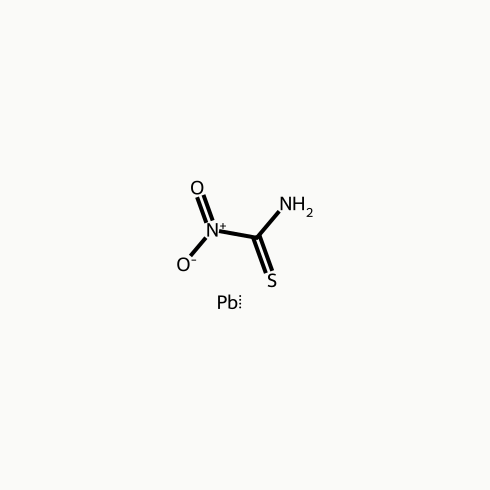 NC(=S)[N+](=O)[O-].[Pb]